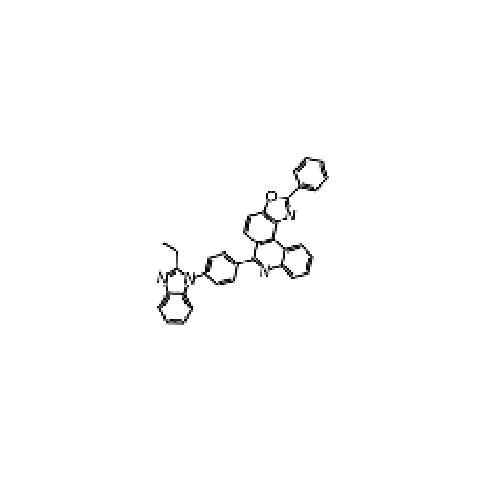 CCc1nc2ccccc2n1-c1ccc(-c2nc3ccccc3c3c2ccc2oc(-c4ccccc4)nc23)cc1